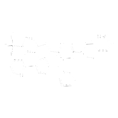 O=C([C@H](Cc1ccccc1)N(Cc1ccc(-c2ccccn2)cc1)C(=O)/C=C/c1ccc(C(F)(F)F)cc1)N1CCc2cccnc2C1